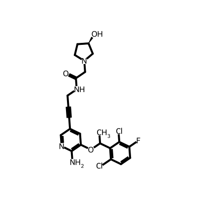 CC(Oc1cc(C#CCNC(=O)CN2CC[C@@H](O)C2)cnc1N)c1c(Cl)ccc(F)c1Cl